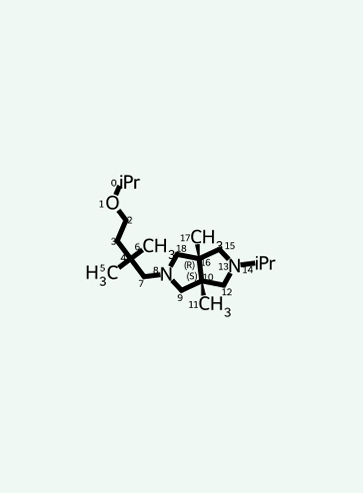 CC(C)OCCC(C)(C)CN1C[C@@]2(C)CN(C(C)C)C[C@@]2(C)C1